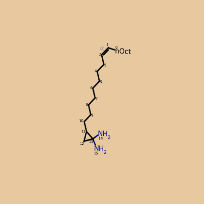 CCCCCCCC/C=C\CCCCCCCCC1CC1(N)N